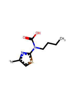 [3H]c1csc(N(CCCC)C(=O)O)n1